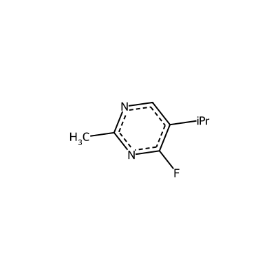 Cc1ncc(C(C)C)c(F)n1